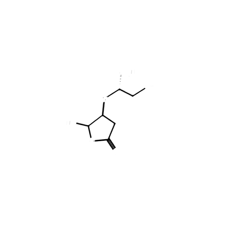 O=C1CC(N[C@@H](CS)C(=O)O)C(O)O1